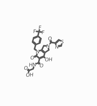 O=C(O)CNC(=O)c1c(O)c2c(n(Cc3ccc(C(F)(F)F)cc3)c1=O)CN(C(=O)c1cscn1)C2